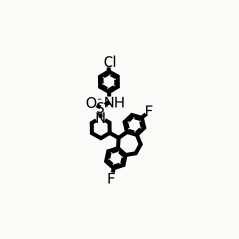 [O-][S+](Nc1ccc(Cl)cc1)N1CCCC(C2c3ccc(F)cc3CCc3cc(F)ccc32)C1